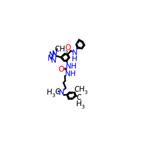 Cc1ccc(CN(C)CCCCNC(=O)Nc2cc(C(=O)Nc3ccccc3)cc(-c3nnnn3C)c2)cc1C